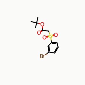 CC(C)(C)OC(=O)CS(=O)(=O)c1cccc(Br)c1